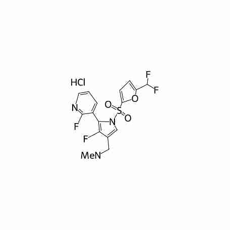 CNCc1cn(S(=O)(=O)c2ccc(C(F)F)o2)c(-c2cccnc2F)c1F.Cl